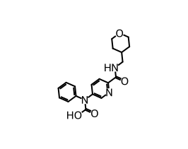 O=C(NCC1CCOCC1)c1ccc(N(C(=O)O)c2ccccc2)cn1